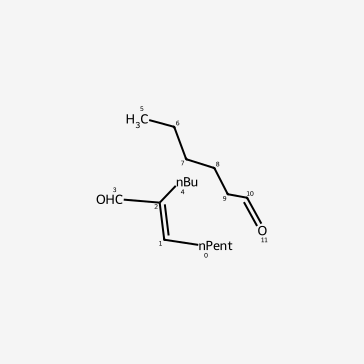 CCCCCC=C(C=O)CCCC.CCCCCC=O